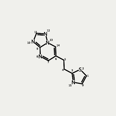 c1csc(CCc2cnc3ncnn3c2)n1